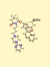 CC1(C)CC(=O)N(CCCCN2CCN(c3ncccn3)CC2)C(=O)C1.CNCC[C@H](Oc1cccc2ccccc12)c1cccs1